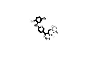 CC(CN(C)C)/C(=N\O)c1ccc(Nc2cc(Br)ccc2Br)nc1